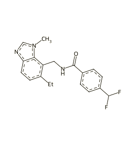 CCc1ccc2ncn(C)c2c1CNC(=O)c1ccc(C(F)F)cc1